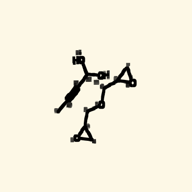 C(OCC1CO1)C1CO1.CC#CC(O)O